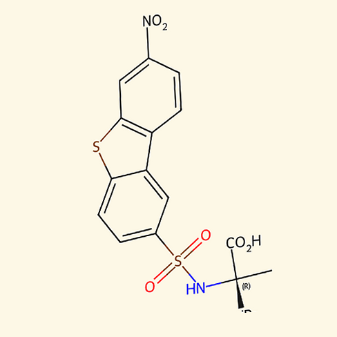 CC(C)[C@@](C)(NS(=O)(=O)c1ccc2sc3cc([N+](=O)[O-])ccc3c2c1)C(=O)O